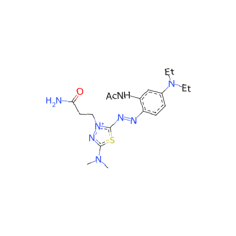 CCN(CC)c1ccc(N=Nc2sc(N(C)C)n[n+]2CCC(N)=O)c(NC(C)=O)c1